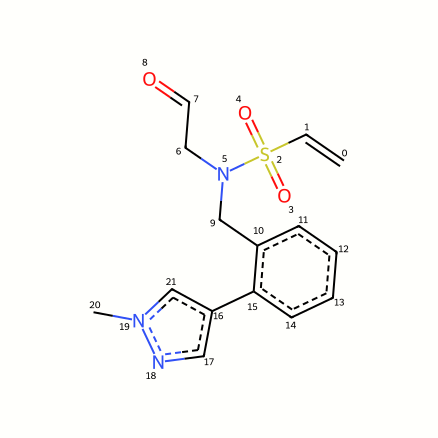 C=CS(=O)(=O)N(CC=O)Cc1ccccc1-c1cnn(C)c1